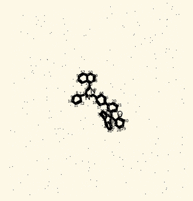 C1=CC2=C(c3cc(-c4ccccc4)nc(-c4ccc(-c5ccc6c(c5)C5(c7ccccc7O6)c6ccccc6-c6ccccc65)cc4)n3)C=CCC2C=C1